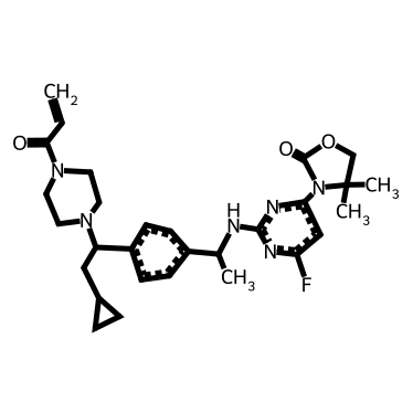 C=CC(=O)N1CCN(C(CC2CC2)c2ccc(C(C)Nc3nc(F)cc(N4C(=O)OCC4(C)C)n3)cc2)CC1